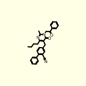 CCCCc1nc(C)n(CC(=O)c2ccccc2)c(=O)c1Cc1ccc(-c2ccccc2)c(C#N)c1